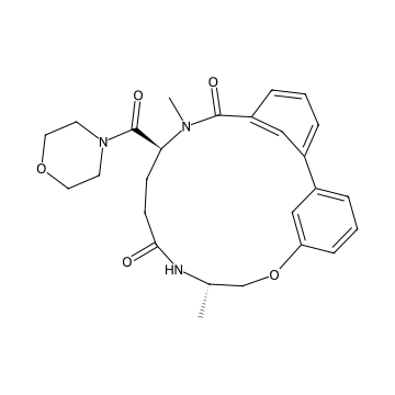 C[C@H]1COc2cccc(c2)-c2cccc(c2)C(=O)N(C)[C@H](C(=O)N2CCOCC2)CCC(=O)N1